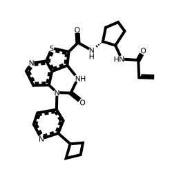 C=CC(=O)NC1CCC[C@H]1NC(=O)c1sc2nccc3c2c1NC(=O)N3c1ccnc(C2CCC2)c1